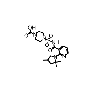 CC1CN(c2ncccc2C(=O)NS(=O)(=O)N2CCN(C(=O)O)CC2)C(C)(C)C1